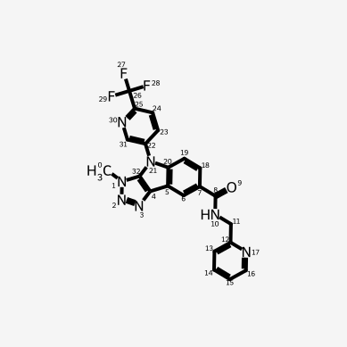 Cn1nnc2c3cc(C(=O)NCc4ccccn4)ccc3n(-c3ccc(C(F)(F)F)nc3)c21